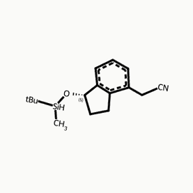 C[SiH](O[C@H]1CCc2c(CC#N)cccc21)C(C)(C)C